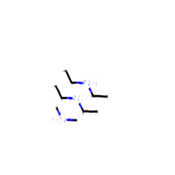 CCNCC.CCNCC.CNC